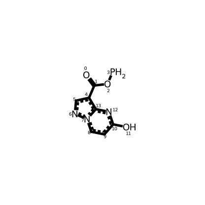 O=C(OP)c1cnn2ccc(O)nc12